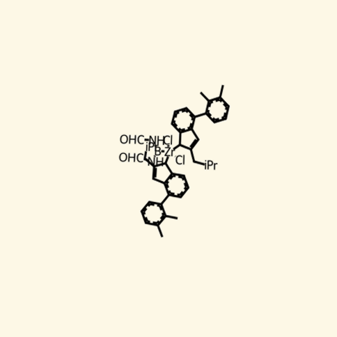 Cc1cccc(-c2cccc3c2C=C(CC(C)C)[CH]3[Zr]([Cl])([Cl])([B](NC=O)NC=O)[CH]2C(CC(C)C)=Cc3c(-c4cccc(C)c4C)cccc32)c1C